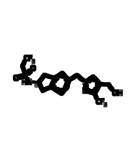 O=S(=O)(CC(F)(F)F)N[C@H]1Cc2ccc(Cn3cc(CO)c(C(F)(F)F)n3)cc2C1